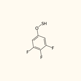 Fc1cc(OS)cc(F)c1F